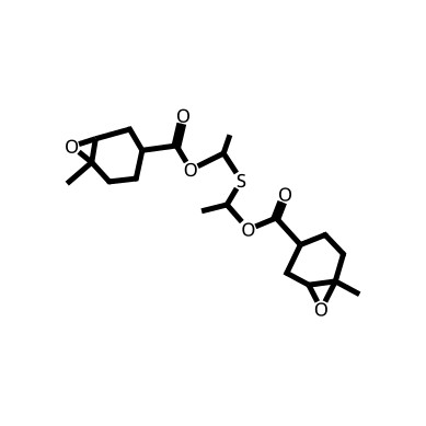 CC(OC(=O)C1CCC2(C)OC2C1)SC(C)OC(=O)C1CCC2(C)OC2C1